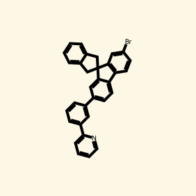 Brc1ccc2c(c1)C1(Cc3ccccc3C1)c1cc(-c3cccc(-c4ccccn4)c3)ccc1-2